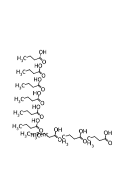 CCCC(=O)O.CCCC(=O)O.CCCC(=O)O.CCCC(=O)O.CCCC(=O)O.CCCC(=O)O.CCCC(=O)O.CCCC(=O)O.CCCC(=O)O.CCCCCC